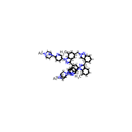 CC(=O)N1CC2CCC1CN2c1ccc(-n2nc(-c3cccc4nn(C)cc34)c3cc(Cn4cc5c(-c6nn(-c7ccc(N8CC9CC8CN9C(C)=O)nc7)c7c(C)cccc67)cccc5n4)cc(C)c32)cn1